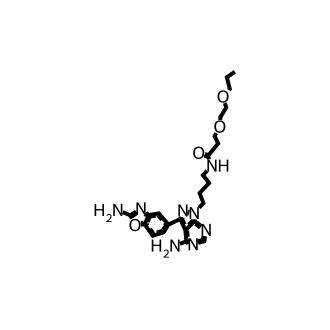 CCCOCCOCCC(=O)NCCCCn1nc(-c2ccc3oc(N)nc3c2)c2c(N)ncnc21